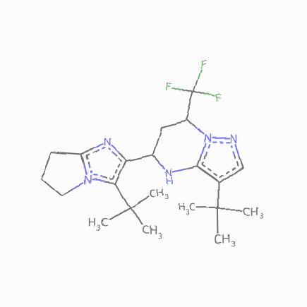 CC(C)(C)c1cnn2c1NC(c1nc3n(c1C(C)(C)C)CCC3)CC2C(F)(F)F